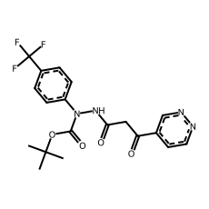 CC(C)(C)OC(=O)N(NC(=O)CC(=O)c1ccnnc1)c1ccc(C(F)(F)F)cc1